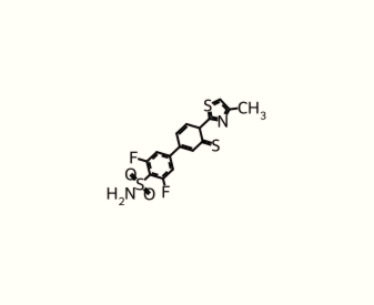 Cc1csc(C2C=CC(c3cc(F)c(S(N)(=O)=O)c(F)c3)=CC2=S)n1